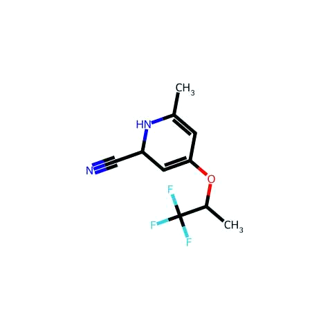 CC1=CC(OC(C)C(F)(F)F)=CC(C#N)N1